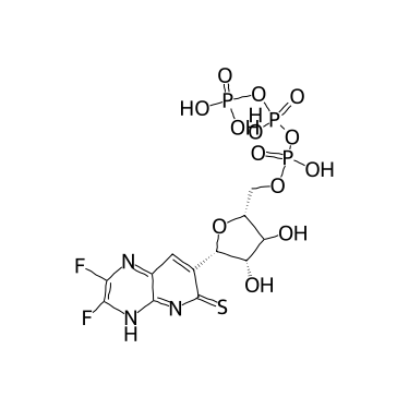 O=P(O)(O)OP(=O)(O)OP(=O)(O)OC[C@H]1O[C@@H](c2cc3nc(F)c(F)[nH]c-3nc2=S)[C@@H](O)C1O